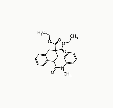 CCOC(=O)C1(C(=O)OCC)Cc2ccccc2C(C(=O)N(C)c2ccccc2)C1